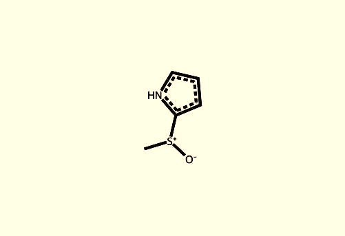 C[S+]([O-])c1ccc[nH]1